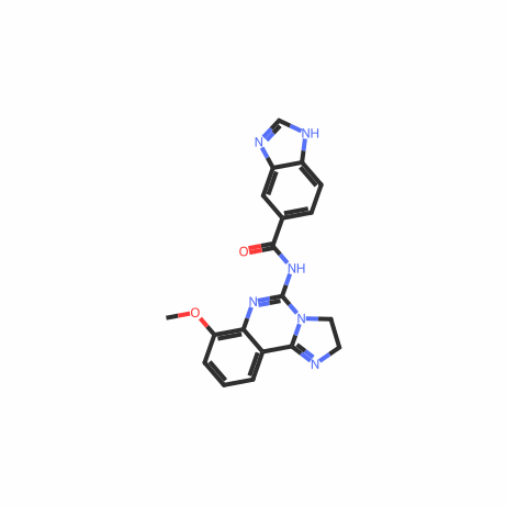 COc1cccc2c1N=C(NC(=O)c1ccc3[nH]cnc3c1)N1CCN=C21